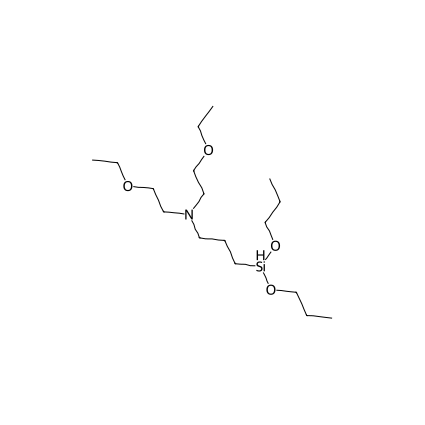 CCCO[SiH](CCCN(CCOCC)CCOCC)OCCC